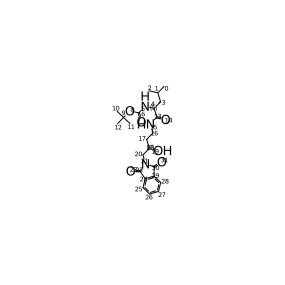 CC(C)C[C@H](NC(=O)OC(C)(C)C)C(=O)NCC[C@H](O)CN1C(=O)c2ccccc2C1=O